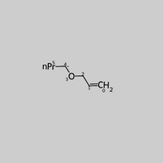 C=CCO[CH]CCC